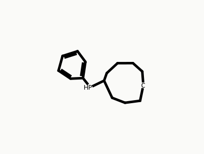 c1ccc(PC2CCCCCCCC2)cc1